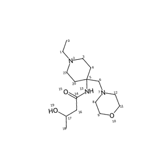 CCN1CCC(CN2CCOCC2)(NC(=O)CC(C)O)CC1